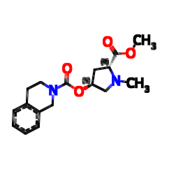 COC(=O)[C@H]1C[C@H](OC(=O)N2CCc3ccccc3C2)CN1C